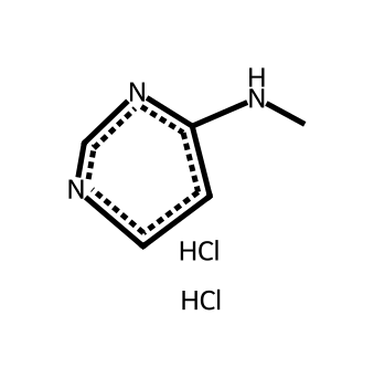 CNc1ccncn1.Cl.Cl